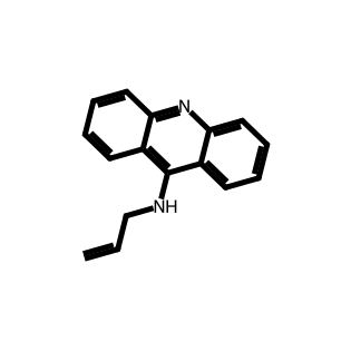 C=CCNc1c2ccccc2nc2ccccc12